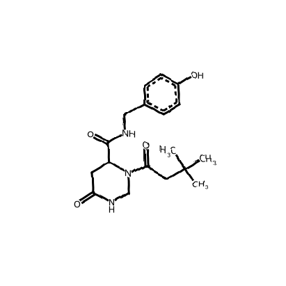 CC(C)(C)CC(=O)N1CNC(=O)CC1C(=O)NCc1ccc(O)cc1